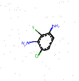 Nc1ccc(Cl)c(N)c1F